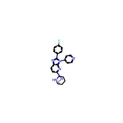 Fc1ccc(-c2nc3ccc(N4CC5CCC4CN5)nc3n2-c2ccncc2)cc1